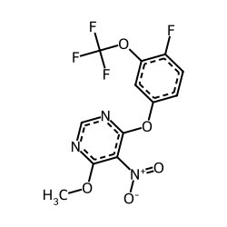 COc1ncnc(Oc2ccc(F)c(OC(F)(F)F)c2)c1[N+](=O)[O-]